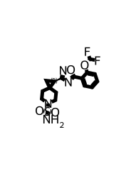 NS(=O)(=O)N1CCC2(CC1)C[C@H]2c1noc(-c2ccccc2OC(F)F)n1